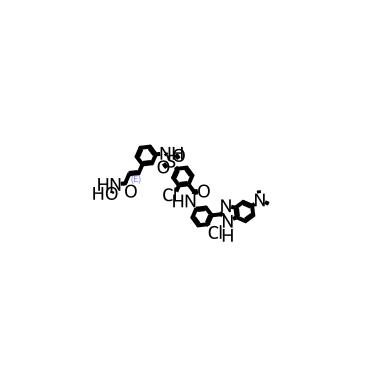 CN(C)c1ccc2[nH]c(-c3cc(NC(=O)c4ccc(S(=O)(=O)Nc5cccc(/C=C/C(=O)NO)c5)cc4Cl)ccc3Cl)nc2c1